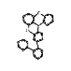 c1ccc(-c2ccccc2-c2ccc3c(c2)Oc2cccc4c2B3c2ccccc2O4)cc1